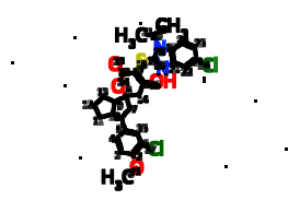 COc1ccc(CCC2(C3CCCC3)CC(O)=C(Sc3nc4cc(Cl)ccc4n3C(C)C)C(=O)O2)cc1Cl